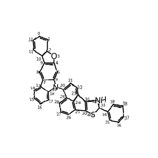 C1=CC2Oc3cc4c(cc3C2C=C1)c1ccccc1n4-c1ccc2c3c(cccc13)C1=C2NC(c2ccccc2)S1